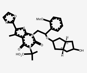 COc1ccccc1C(Cn1c(=O)n(C(C)(C)C(=O)O)c(=O)c2c(C)c(-c3ncco3)sc21)OC1C[C@H]2CC(O)C[C@@H]2C1